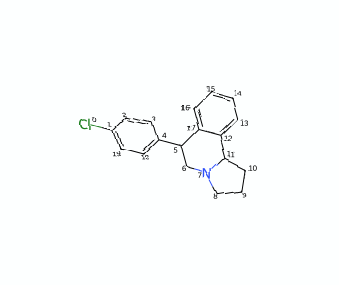 Clc1ccc(C2CN3CCCC3c3ccccc32)cc1